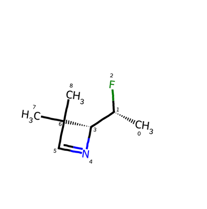 C[C@@H](F)[C@@H]1N=CC1(C)C